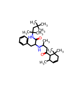 CC(CC(=O)C1C(C)C=CCC1(C)C)NC(Cc1ccccc1)C(=O)NC(C)(C)CC(C)(C)C